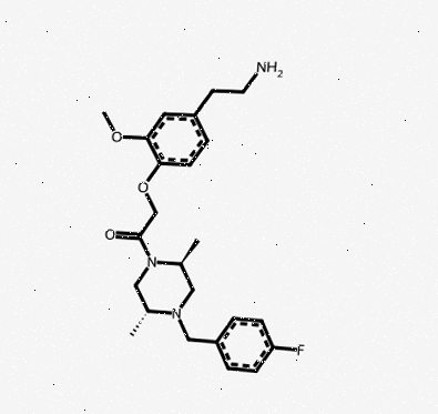 COc1cc(CCN)ccc1OCC(=O)N1C[C@@H](C)N(Cc2ccc(F)cc2)C[C@@H]1C